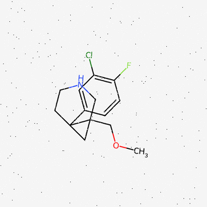 COCC12CNCCC1(c1ccc(F)c(Cl)c1)C2